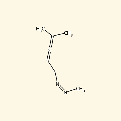 C/N=N\CC=C=C(C)C